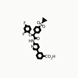 O=C(O)c1cccc(-c2ccc(NC(=O)C(Oc3ccc(F)cc3F)c3ccc(S(=O)(=O)C4CC4)cc3)nc2)c1